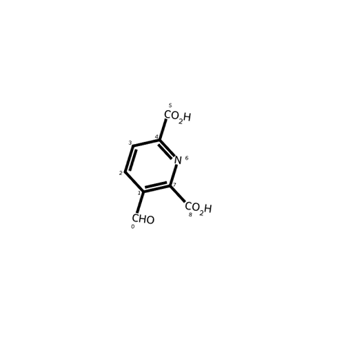 O=Cc1ccc(C(=O)O)nc1C(=O)O